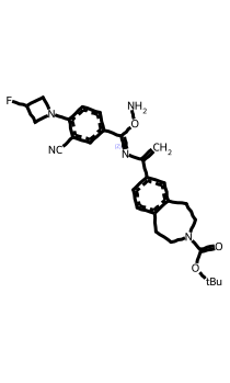 C=C(/N=C(\ON)c1ccc(N2CC(F)C2)c(C#N)c1)c1ccc2c(c1)CCN(C(=O)OC(C)(C)C)CC2